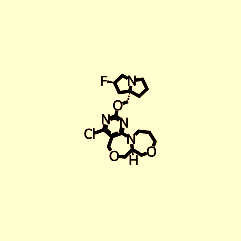 F[C@H]1CN2CCC[C@@]2(COc2nc(Cl)c3c(n2)N2CCCOC[C@H]2COC3)C1